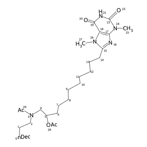 CCCCCCCCCCCCN(CC(CCCCCCCCCc1nc2c(c(=O)[nH]c(=O)n2C)n1C)OC(C)=O)C(C)=O